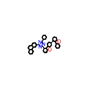 c1ccc(-c2nc(-c3ccc4ccc5ccccc5c4c3)nc(-c3cccc4oc5cc(-c6cccc7oc8ccccc8c67)ccc5c34)n2)cc1